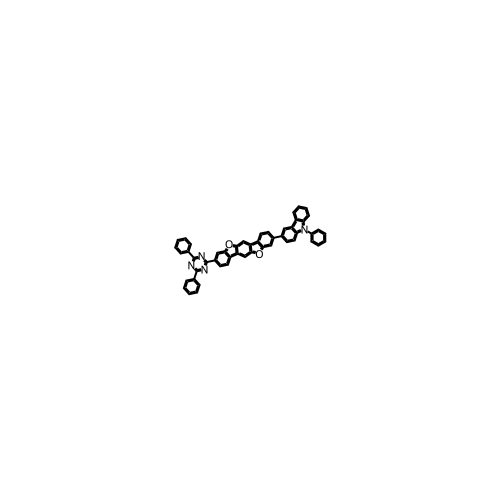 c1ccc(-c2nc(-c3ccccc3)nc(-c3ccc4c(c3)oc3cc5c(cc34)oc3cc(-c4ccc6c(c4)c4ccccc4n6-c4ccccc4)ccc35)n2)cc1